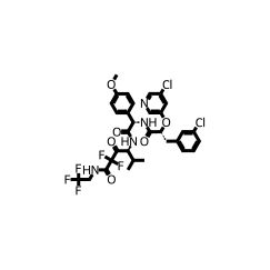 COc1ccc([C@H](NC(=O)[C@@H](Cc2cccc(Cl)c2)Oc2cncc(Cl)c2)C(=O)N[C@H](C(=O)C(F)(F)C(=O)NCC(F)(F)F)C(C)C)cc1